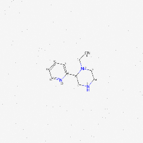 N#CCN1CCNCC1c1ccccn1